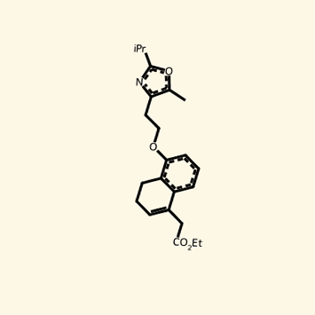 CCOC(=O)CC1=CCCc2c(OCCc3nc(C(C)C)oc3C)cccc21